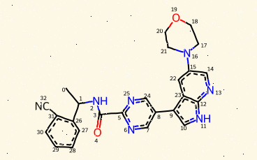 CC(NC(=O)c1ncc(-c2c[nH]c3ncc(N4CCOCC4)cc23)cn1)c1ccccc1C#N